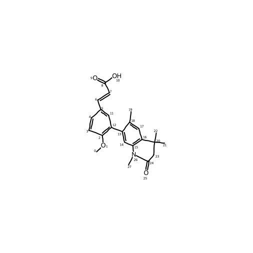 COc1ccc(C=CC(=O)O)cc1-c1cc2c(cc1C)C(C)(C)CC(=O)N2C